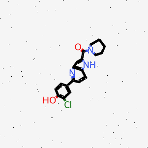 O=C(c1cc2nc(-c3ccc(O)c(Cl)c3)ccc2[nH]1)N1CCCCC1